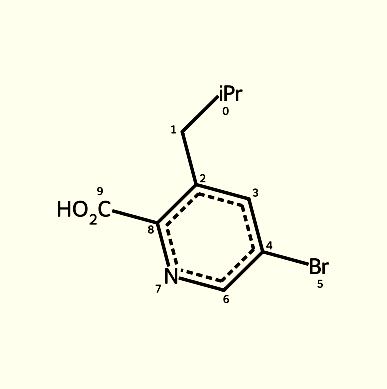 CC(C)Cc1cc(Br)cnc1C(=O)O